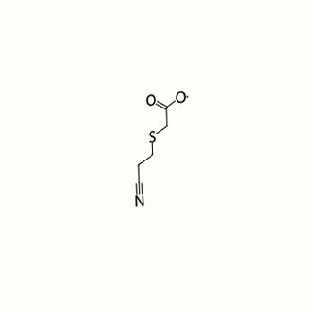 N#CCCSCC([O])=O